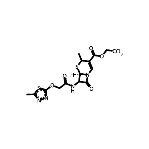 Cc1nnc(OCC(=O)NC2C(=O)N3C=C(C(=O)OCC(Cl)(Cl)Cl)C(C)S[C@H]23)s1